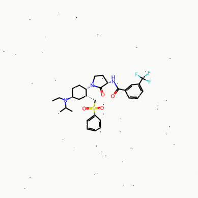 CCN(C(C)C)[C@H]1CC[C@H](N2CC[C@H](NC(=O)c3cccc(C(F)(F)F)c3)C2=O)[C@H](CS(=O)(=O)c2ccccc2)C1